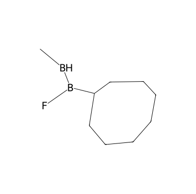 CBB(F)C1CCCCCCC1